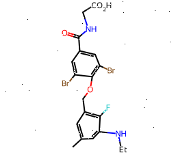 CCNc1cc(C)cc(COc2c(Br)cc(C(=O)NCC(=O)O)cc2Br)c1F